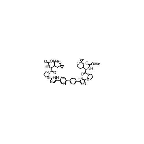 COC(=O)NC(C(=O)N1CCC[C@H]1c1ncc(-c2ccc(-c3ccc(-c4cnc([C@@H]5CCCN5C(=O)C(NC(=O)OC)C5CCOC6(CC6)C5)[nH]4)cn3)cc2)[nH]1)C1CCOC2(CC2)C1